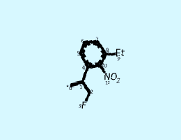 [CH2]C(CF)c1cccc(CC)c1[N+](=O)[O-]